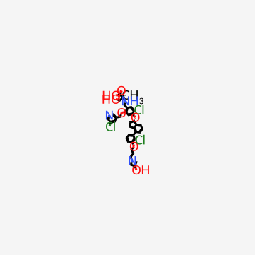 C[C@@](CO)(NCc1cc(Cl)c(O[C@H]2CCc3c(-c4cccc(OCCCN5CC(O)C5)c4Cl)cccc32)cc1OCc1cncc(Cl)c1)C(=O)O